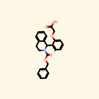 O=C(O)COc1cccc(F)c1C1c2ccccc2CCN1C(=O)OCc1ccccc1